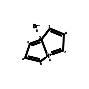 C1=CC2=CC=C[N+]2=C1.[Br-]